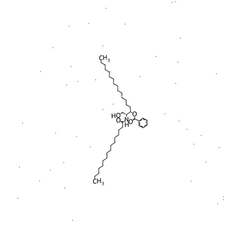 CCCCCCCCCCCCCCCC(=O)N[C@@H](CO)C(CCCCCCCCCCCCCCC)OC(=O)c1ccccc1